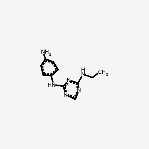 CCNc1ncnc(Nc2ccc(N)cc2)n1